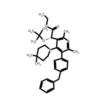 CCOC(=O)[C@@H](OC(C)(C)C)c1c(C)nc(C)c(-c2ccc(Cc3ccccc3)cc2)c1N1CCC(C)(C)CC1